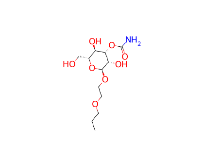 CCCOCCO[C@H]1O[C@H](CO)[C@@H](O)[C@H](OC(N)=O)[C@@H]1O